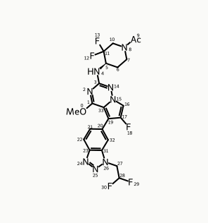 COc1nc(N[C@@H]2CCN(C(C)=O)CC2(F)F)nn2cc(F)c(-c3ccc4nnn(CC(F)F)c4c3)c12